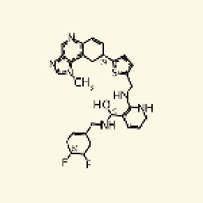 Cn1cnc2cnc3c(c21)C[C@H](c1ccc(CNC2=C([C@H](O)NCC4=CC[C@H](F)C(F)C4)C=CCN2)s1)C=C3